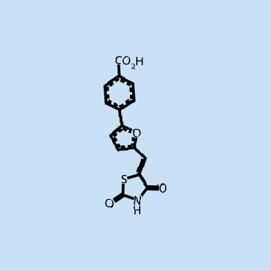 O=C1NC(=O)/C(=C/c2ccc(-c3ccc(C(=O)O)cc3)o2)S1